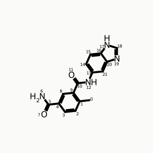 Cc1ccc(C(N)=O)cc1C(=O)Nc1ccc2[nH]cnc2c1